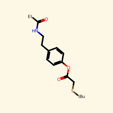 CCC(=O)NCCc1ccc(OC(=O)CSC(C)(C)C)cc1